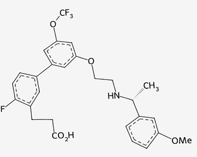 COc1cccc([C@@H](C)NCCOc2cc(OC(F)(F)F)cc(-c3ccc(F)c(CCC(=O)O)c3)c2)c1